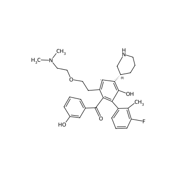 Cc1c(F)cccc1-c1c(O)c([C@H]2CCCNC2)[c]c(CCOCCN(C)C)c1C(=O)c1cccc(O)c1